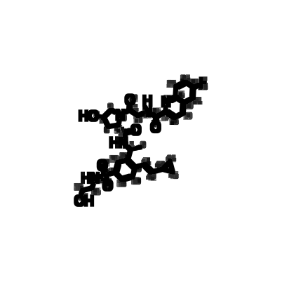 C[C@H](NC(=O)[C@@H]1C[C@@H](O)CN1C(=O)CNC(=O)c1ccc2cc(F)ccc2n1)c1cc(S(=O)(=O)NCCO)ccc1/C=C/C1CC1